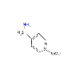 COc1ccc([SiH2]N)cc1